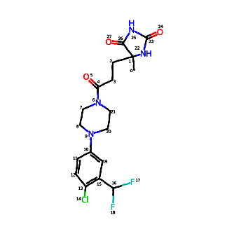 CC1(CCC(=O)N2CCN(c3ccc(Cl)c(C(F)F)c3)CC2)NC(=O)NC1=O